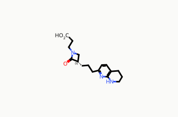 O=C(O)CCN1C[C@H](CCCc2ccc3c(n2)NCCC3)C1=O